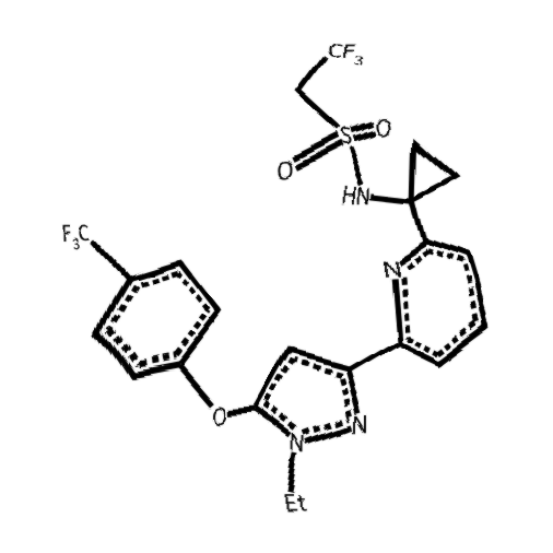 CCn1nc(-c2cccc(C3(NS(=O)(=O)CC(F)(F)F)CC3)n2)cc1Oc1ccc(C(F)(F)F)cc1